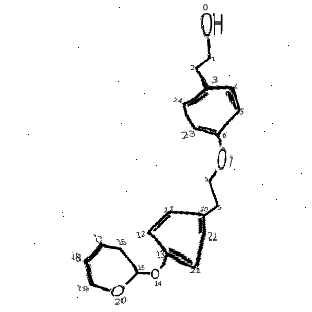 OCCc1ccc(OCCc2ccc(OC3CCCCO3)cc2)cc1